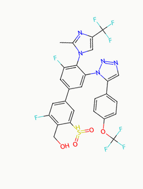 Cc1nc(C(F)(F)F)cn1-c1c(F)cc(-c2cc(F)c(CO)c([SH](=O)=O)c2)cc1-n1nncc1-c1ccc(OC(F)(F)F)cc1